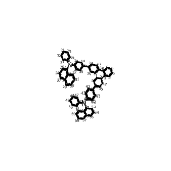 C1=CC(c2ccccc2-c2ccc(-c3ccc(N(c4ccccc4)c4cccc5ccccc45)cc3)cc2)CC=C1c1ccc(N(c2ccccc2)c2cccc3ccccc23)cc1